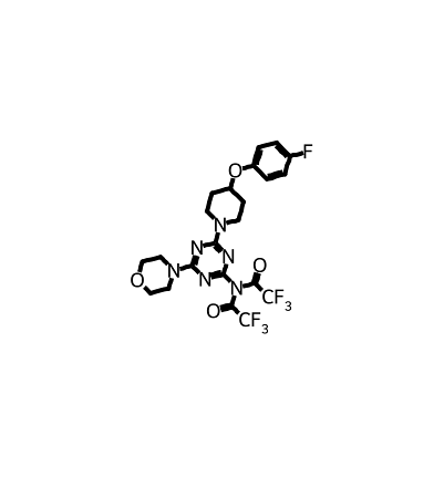 O=C(N(C(=O)C(F)(F)F)c1nc(N2CCOCC2)nc(N2CCC(Oc3ccc(F)cc3)CC2)n1)C(F)(F)F